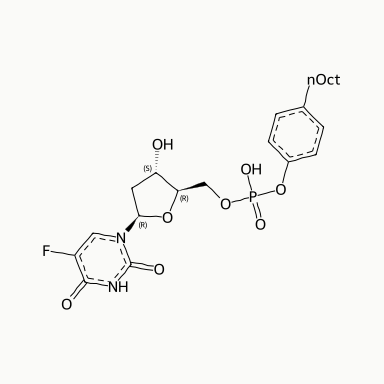 CCCCCCCCc1ccc(OP(=O)(O)OC[C@H]2O[C@@H](n3cc(F)c(=O)[nH]c3=O)C[C@@H]2O)cc1